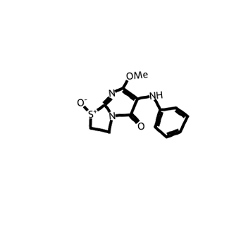 COc1nc2n(c(=O)c1Nc1ccccc1)CC[S+]2[O-]